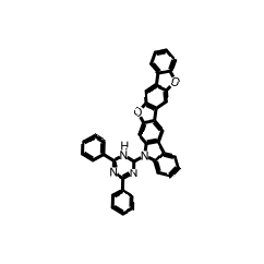 c1ccc(C2=NC(n3c4ccccc4c4cc5c(cc43)oc3cc4c(cc35)oc3ccccc34)NC(c3ccccc3)=N2)cc1